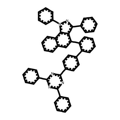 c1ccc(-c2nc(-c3ccccc3)nc(-c3ccc(-c4ccccc4-c4cc5ccccc5c5c4c(-c4ccccc4)nn5-c4ccccc4)cc3)n2)cc1